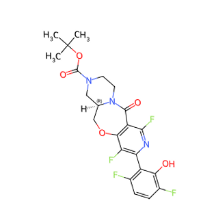 CC(C)(C)OC(=O)N1CCN2C(=O)c3c(F)nc(-c4c(F)ccc(F)c4O)c(F)c3OC[C@H]2C1